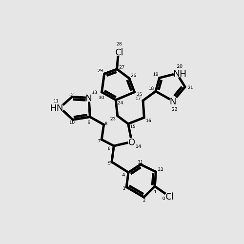 Clc1ccc(CC(CCc2c[nH]cn2)OC(CCc2c[nH]cn2)Cc2ccc(Cl)cc2)cc1